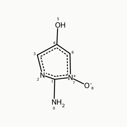 Nc1ncc(O)c[n+]1[O-]